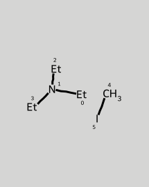 CCN(CC)CC.CI